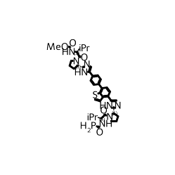 COC(=O)N[C@H](C(=O)N1CCC[C@H]1c1ncc(-c2ccc(-c3ccc(-c4cnc([C@@H]5CCCN5C(=O)[C@@H](NC(=O)P)C(C)C)[nH]4)c4ccsc34)cc2)[nH]1)C(C)C